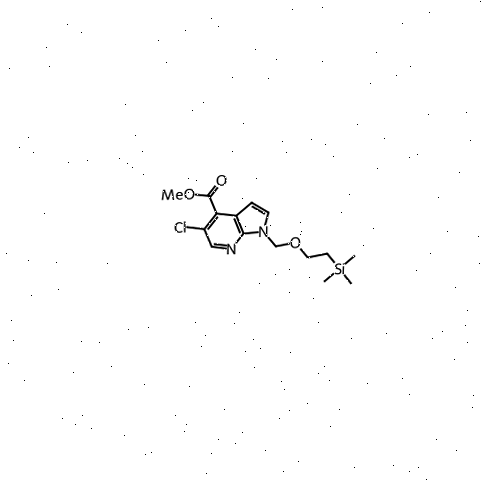 COC(=O)c1c(Cl)cnc2c1ccn2COCC[Si](C)(C)C